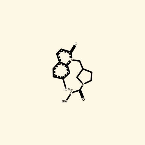 COc1ccc2ccc(=O)n(CC3CCN(C(=O)OC(C)(C)C)C3)c2c1